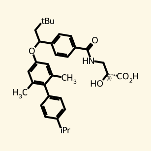 Cc1cc(OC(CC(C)(C)C)c2ccc(C(=O)NC[C@@H](O)C(=O)O)cc2)cc(C)c1-c1ccc(C(C)C)cc1